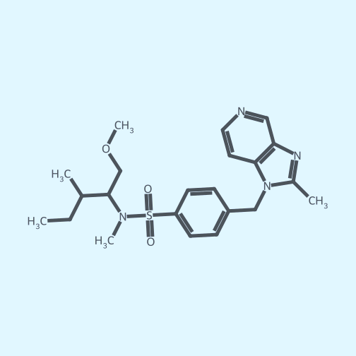 CCC(C)C(COC)N(C)S(=O)(=O)c1ccc(Cn2c(C)nc3cnccc32)cc1